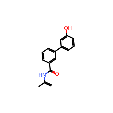 C=C(C)NC(=O)c1cccc(-c2cccc(O)c2)c1